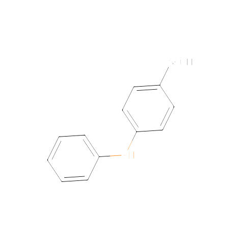 O=S(=O)(O)c1ccc(Pc2ccccc2)cc1